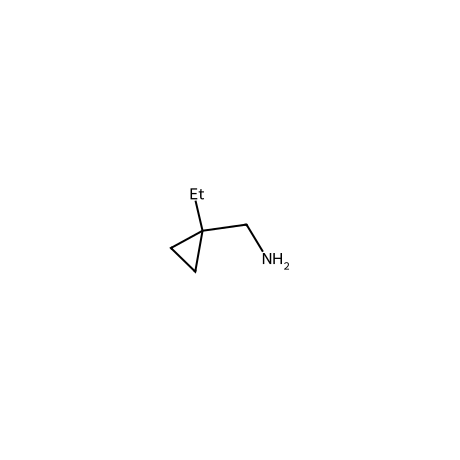 [CH2]CC1(CN)CC1